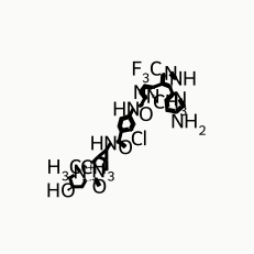 Cn1c(-c2c(C(F)(F)F)n[nH]c2-c2ccc(N)cn2)cnc1C(=O)Nc1ccc(C(=O)NC2C3CN(C(=O)[C@@H]4C[C@@H](O)C[N+]4(C)C)CC32)c(Cl)c1